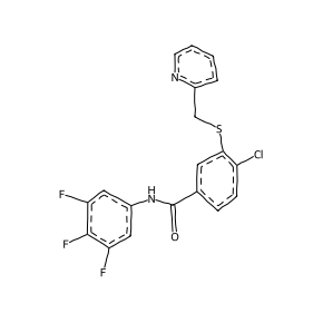 O=C(Nc1cc(F)c(F)c(F)c1)c1ccc(Cl)c(SCc2ccccn2)c1